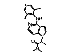 Cc1cncc(C)c1Nc1nccc2c1ccn2C(C)C(=O)N(C)C